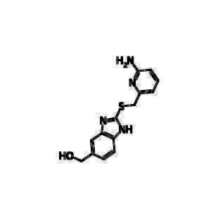 Nc1cccc(CSc2nc3cc(CO)ccc3[nH]2)n1